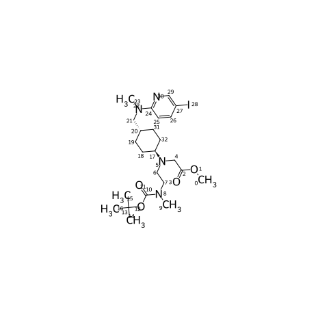 COC(=O)CN(CCN(C)C(=O)OC(C)(C)C)[C@H]1CC[C@H](CN(C)c2ccc(I)cn2)CC1